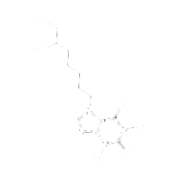 CCn1c(=O)c2c(ncn2CCCCCC(O)CO)n(CC)c1=O